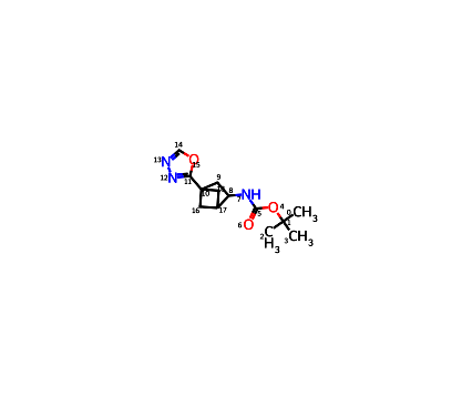 CC(C)(C)OC(=O)NC1CC2(c3nnco3)CC1C2